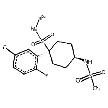 CCCNS(=O)(=O)[C@]1(c2cc(F)ccc2F)CC[C@H](NS(=O)(=O)C(F)(F)F)CC1